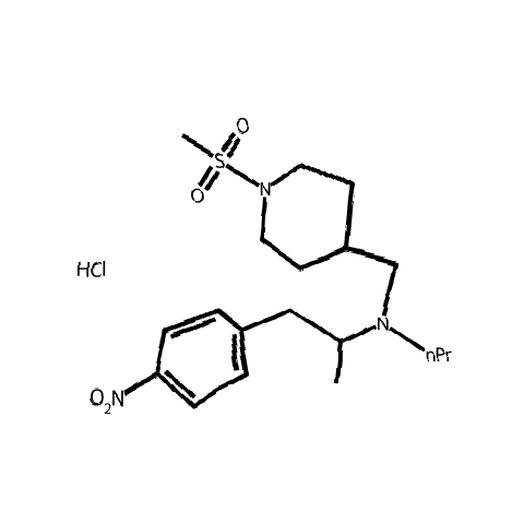 CCCN(CC1CCN(S(C)(=O)=O)CC1)C(C)Cc1ccc([N+](=O)[O-])cc1.Cl